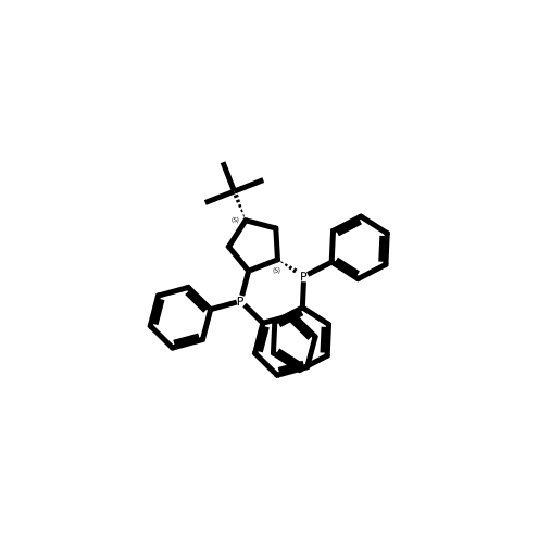 CC(C)(C)[C@H]1CC(P(c2ccccc2)c2ccccc2)[C@@H](P(c2ccccc2)c2ccccc2)C1